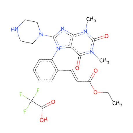 CCOC(=O)/C=C/c1ccccc1-n1c(N2CCNCC2)nc2c1c(=O)n(C)c(=O)n2C.O=C(O)C(F)(F)F